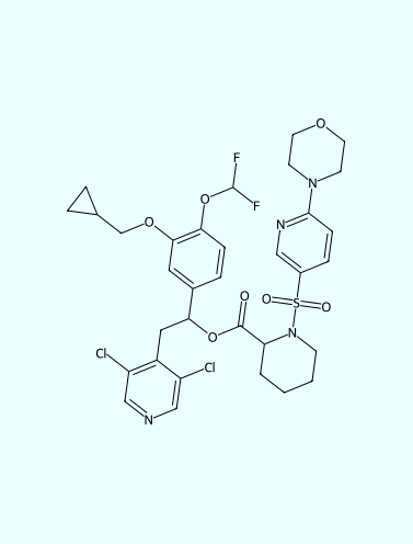 O=C(OC(Cc1c(Cl)cncc1Cl)c1ccc(OC(F)F)c(OCC2CC2)c1)C1CCCCN1S(=O)(=O)c1ccc(N2CCOCC2)nc1